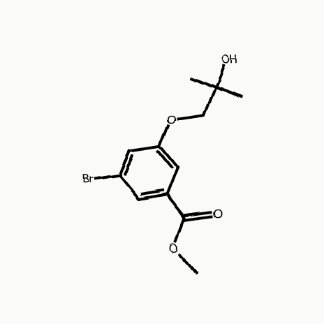 COC(=O)c1cc(Br)cc(OCC(C)(C)O)c1